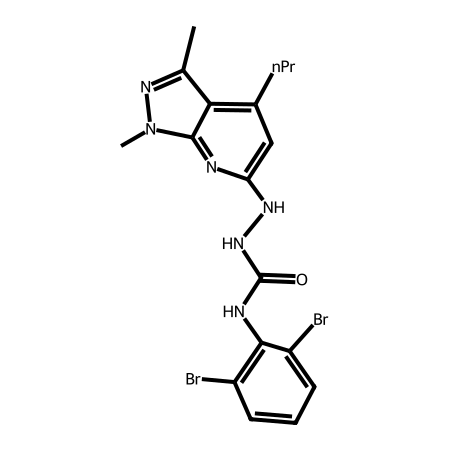 CCCc1cc(NNC(=O)Nc2c(Br)cccc2Br)nc2c1c(C)nn2C